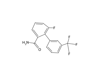 NC(=O)c1cccc(F)c1-c1cccc(C(F)(F)F)c1